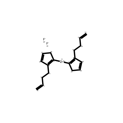 C=CCCC1=[C]([Zr+2][C]2=C(CCC=C)C=CC2)CC=C1.[F-].[F-]